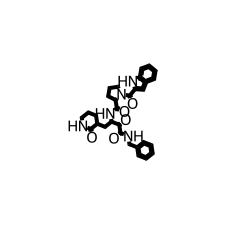 O=C(NCc1ccccc1)C(=O)C(CC1CCCNC1=O)NC(=O)C1CCCN1C(=O)c1cc2ccccc2[nH]1